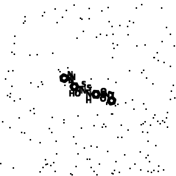 O=S(=O)(c1ccc(NC(=S)NC(=S)c2cc(-n3nnc4ccccc43)ccc2O)cc1)N1CCc2ccccc21